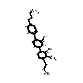 CCCCc1ccc(-c2ccc(-c3ccc(CCC)c(C)c3F)cc2F)cc1